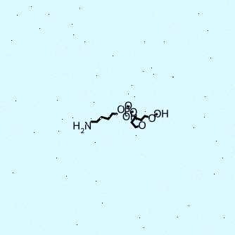 NCCCCCCOP(=O)(O)OC1CCOC1COO